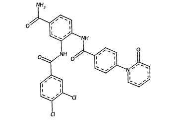 NC(=O)c1ccc(NC(=O)c2ccc(-n3ccccc3=O)cc2)c(NC(=O)c2ccc(Cl)c(Cl)c2)c1